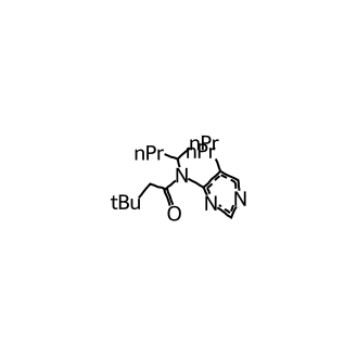 CCCc1cncnc1N(C(=O)CC(C)(C)C)C(CCC)CCC